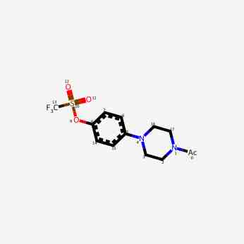 CC(=O)N1CCN(c2ccc(OS(=O)(=O)C(F)(F)F)cc2)CC1